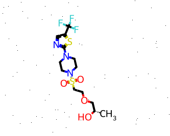 C[C@H](O)COCCS(=O)(=O)N1CCN(c2ncc(C(F)(F)F)s2)CC1